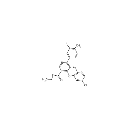 CCOC(=O)c1cnc(-c2ccc(C)c(F)c2)nc1Oc1cc(Cl)ccc1Cl